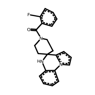 O=C(c1ccccc1F)N1CCC2(CC1)Nc1ccccc1-n1cccc12